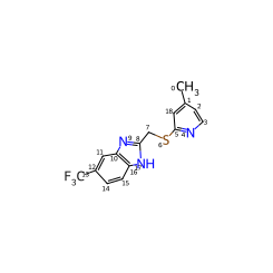 Cc1ccnc(SCc2nc3cc(C(F)(F)F)ccc3[nH]2)c1